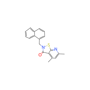 Cc1cc(C)c2c(=O)n(Cc3cccc4ccccc34)sc2n1